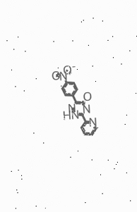 O=c1nc(-c2ccccn2)[nH]nc1-c1ccc([N+](=O)[O-])cc1